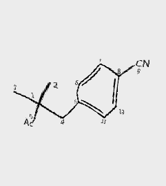 CC(=O)C(C)(C)Cc1ccc(C#N)cc1